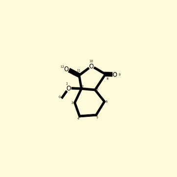 COC12CCCCC1C(=O)OC2=O